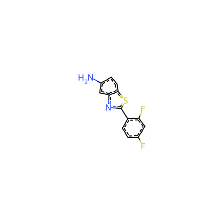 Nc1ccc2sc(-c3ccc(F)cc3F)nc2c1